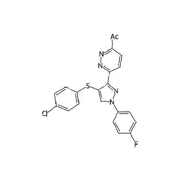 CC(=O)c1ccc(-c2nn(-c3ccc(F)cc3)cc2Sc2ccc(Cl)cc2)nn1